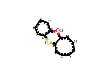 c1cccc2sc3ccccc3oc-2cc1